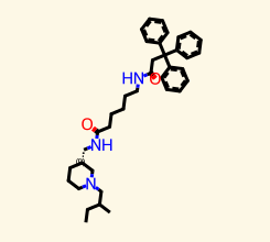 CCC(C)CN1CCC[C@H](CNC(=O)CCCCCNC(=O)CC(c2ccccc2)(c2ccccc2)c2ccccc2)C1